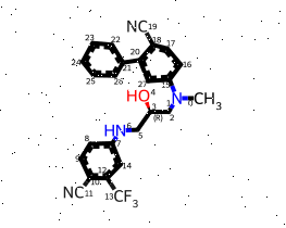 CN(C[C@H](O)CNc1ccc(C#N)c(C(F)(F)F)c1)c1ccc(C#N)c(-c2ccccc2)c1